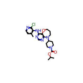 Cc1ccnc(Cl)c1Nc1ncnc2c1OCCCN2C1CCN(C(=O)OC(C)C)CC1